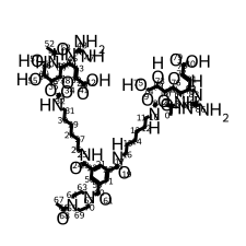 CC(=O)N[C@H]1[C@H]([C@H](OC(=O)NCCCCCCNC(=O)c2cc(C(=O)NCCCCCCNC(=O)OC(C3OC(C(=O)O)=C[C@H](NC(=N)N)[C@H]3NC(C)=O)[C@H](O)CO)cc(C(=O)N3CCN(C(C)=O)CC3)c2)[C@H](O)CO)OC(C(=O)O)=C[C@@H]1NC(=N)N